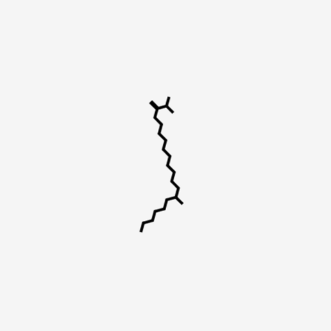 C=C(CCCCCCCCCCC(C)CCCCCC)C(C)C